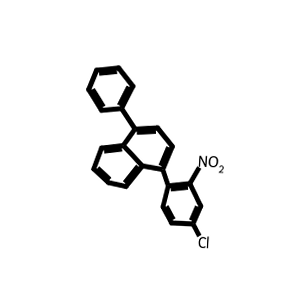 O=[N+]([O-])c1cc(Cl)ccc1-c1ccc(-c2ccccc2)c2ccccc12